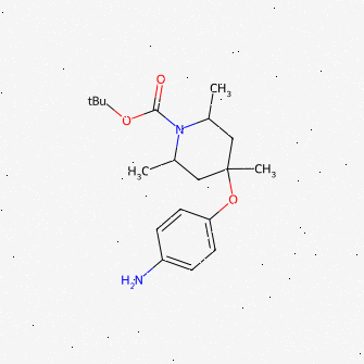 CC1CC(C)(Oc2ccc(N)cc2)CC(C)N1C(=O)OC(C)(C)C